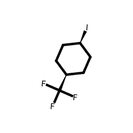 FC(F)(F)[C@H]1CC[C@@H](I)CC1